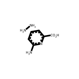 NN.Nc1cccc(C(=O)O)n1